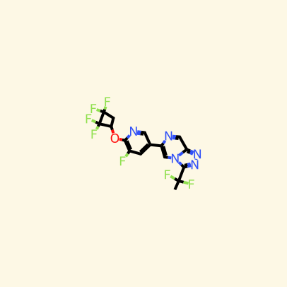 CC(F)(F)c1nnc2cnc(-c3cnc(OC4CC(F)(F)C4(F)F)c(F)c3)cn12